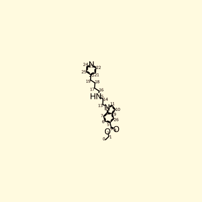 CCOC(=O)c1ccc2c(ccn2CCNCCCCc2ccncc2)c1